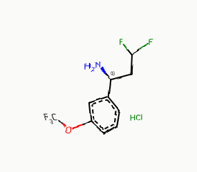 Cl.N[C@@H](CC(F)F)c1cccc(OC(F)(F)F)c1